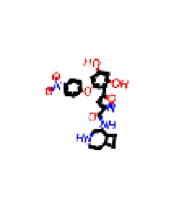 O=C(NC1CNCCC2CCC21)c1cc(-c2c(O)cc(O)cc2Oc2ccc([N+](=O)[O-])cc2)on1